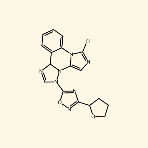 Clc1ncc2n1-c1ccccc1C1N=CN(c3nc(C4CCCO4)no3)N21